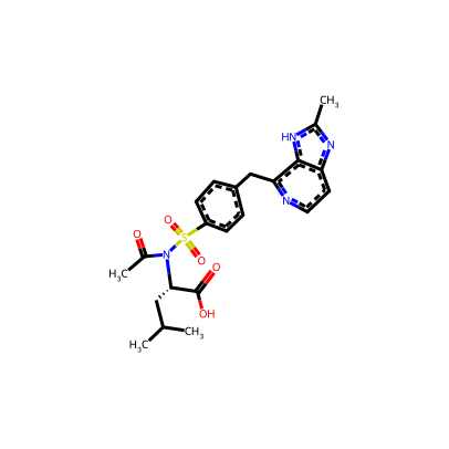 CC(=O)N([C@@H](CC(C)C)C(=O)O)S(=O)(=O)c1ccc(Cc2nccc3nc(C)[nH]c23)cc1